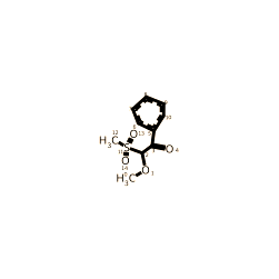 COC(C(=O)c1ccccc1)S(C)(=O)=O